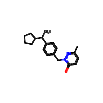 Cc1ccc(=O)n(Cc2ccc(C(C(=O)O)C3CCCC3)cc2)n1